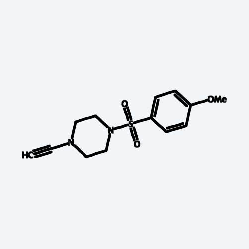 C#CN1CCN(S(=O)(=O)c2ccc(OC)cc2)CC1